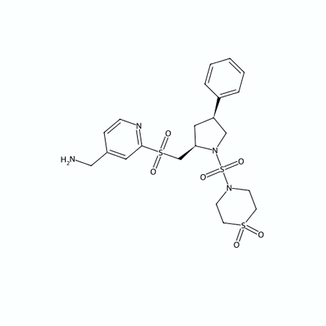 NCc1ccnc(S(=O)(=O)C[C@H]2C[C@@H](c3ccccc3)CN2S(=O)(=O)N2CCS(=O)(=O)CC2)c1